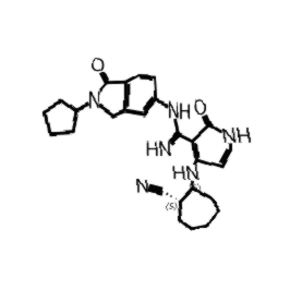 N#C[C@H]1CCCCC[C@@H]1Nc1cc[nH]c(=O)c1C(=N)Nc1ccc2c(c1)CN(C1CCCC1)C2=O